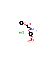 Cl.NC(CCC(O)COc1ccccc1)Oc1ccc(OCC(=O)O)cc1